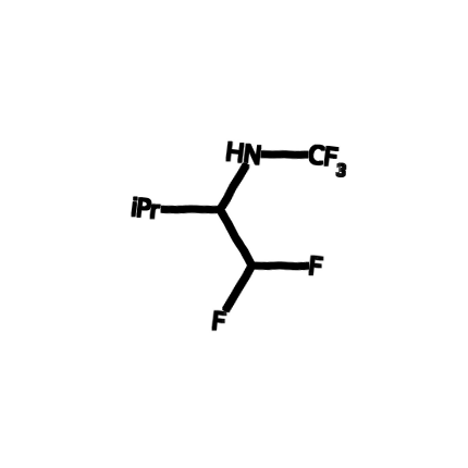 CC(C)C(NC(F)(F)F)C(F)F